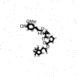 COc1cc(/C=C/C(=O)NC2(C(=O)N3CCCC3C(=O)OC(C)CC3CCC(C)(C)C3(C)C)CC2)ccc1N=O